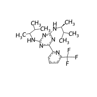 CC(C)C(C)Nc1nc(N[C@@H](C)C(C)C)nc(-c2cccc(C(F)(F)F)n2)n1